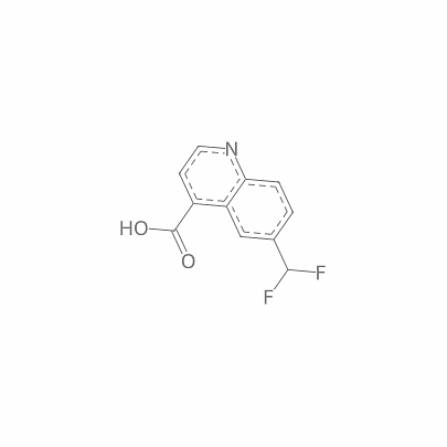 O=C(O)c1ccnc2ccc(C(F)F)cc12